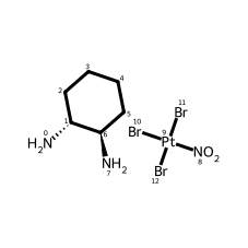 N[C@@H]1CCCC[C@H]1N.O=[N+]([O-])[Pt]([Br])([Br])[Br]